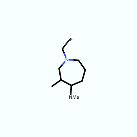 CNC1CCCN(CC(C)C)CC1C